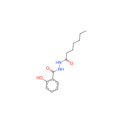 CCCCCCC(=O)NNC(=O)c1ccccc1O